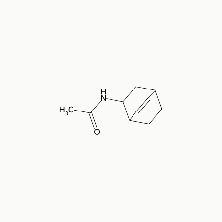 CC(=O)NC1CC2C=CC1CC2